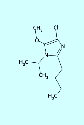 CCCCc1nc(Cl)c(OC)n1C(C)C